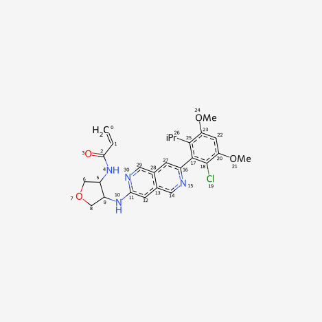 C=CC(=O)NC1COCC1Nc1cc2cnc(-c3c(Cl)c(OC)cc(OC)c3C(C)C)cc2cn1